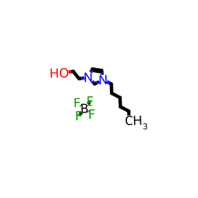 CCCCCCN1C=CN(CCO)C1.F[B-](F)(F)F